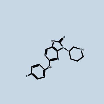 O=c1[nH]c2cnc(Nc3ccc(F)cc3)nc2n1[C@@H]1CCCNC1